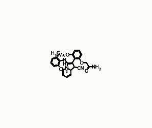 COc1cccc(OCC(N)=O)c1C1=C(Nc2c(C)cccc2C)N2C=CC=CC2C1C#N